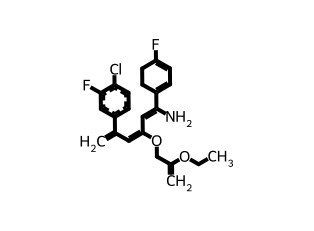 C=C(COC(/C=C(\N)C1=CC=C(F)CC1)=C/C(=C)c1ccc(Cl)c(F)c1)OCC